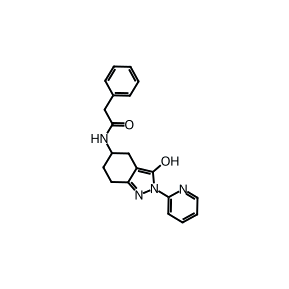 O=C(Cc1ccccc1)NC1CCc2nn(-c3ccccn3)c(O)c2C1